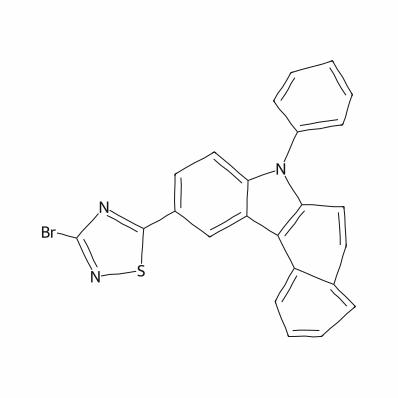 Brc1nsc(-c2ccc3c(c2)c2c4ccccc4ccc2n3-c2ccccc2)n1